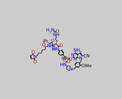 CCCCOc1nc(N)c2cc(C#N)n(Cc3ccc(CN4CC[C@H](NC(=O)OCc5ccc(NC(=O)[C@H](CCCNC(N)=O)NC(=O)[C@@H](NC(=O)CCCCCN6C(=O)C=CC6=O)C(C)C)cc5)C4)cc3OC)c2n1